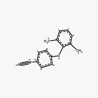 Cc1cccc(C)c1Oc1ccc([N+]#N)cc1